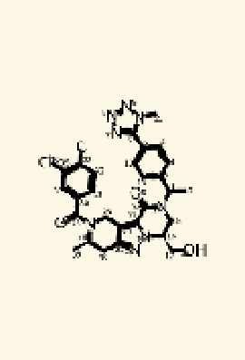 CC(c1ccc(-c2nnnn2C)cc1)N1C[C@@H](CO)n2nc3c(c2C1=O)CN(C(=O)c1ccc(Cl)c(Cl)c1)[C@H](C)C3